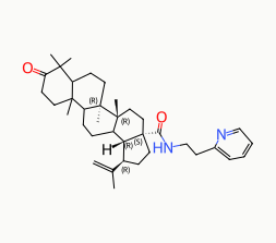 C=C(C)[C@@H]1CC[C@]2(C(=O)NCCc3ccccn3)CC[C@]3(C)C(CCC4C5(C)CCC(=O)C(C)(C)C5CC[C@]43C)[C@@H]12